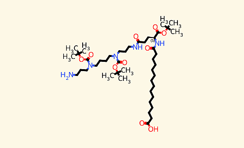 CC(C)(C)OC(=O)[C@H](CCC(=O)NCCCN(CCCCN(CCCN)C(=O)OC(C)(C)C)C(=O)OC(C)(C)C)NC(=O)CCCCCCCCCCCCCC(=O)O